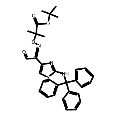 CC(C)(C)OC(=O)C(C)(C)ON=C(C=O)c1csc(NC(c2ccccc2)(c2ccccc2)c2ccccc2)n1